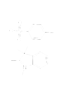 CC1=[N+](C)c2ccccc2C1(C)C.Cc1ccc(S(=O)(=O)[O-])cc1